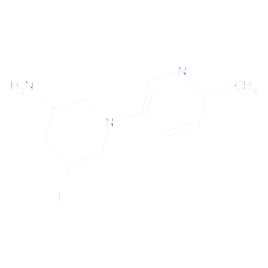 Cc1ccc(N2CC(N)CC(F)C2)cn1